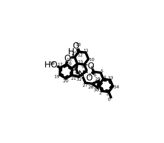 Cc1ccc(CC(=O)O[C@@]23CCC(=O)[C@@H]4Oc5c(O)ccc6c5C42CCN(CC2CC2)C3C6)cc1